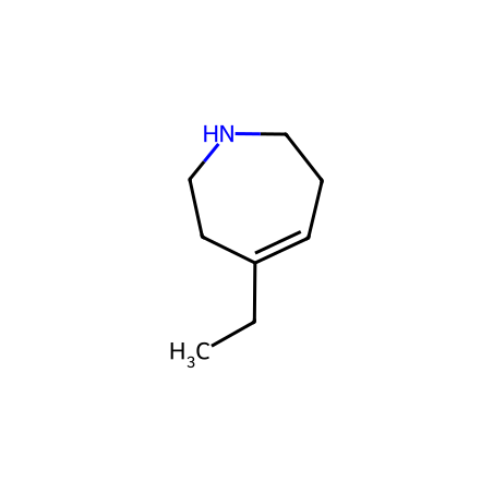 CCC1=CCCNCC1